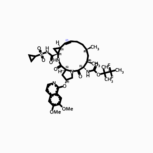 COc1cc2ccnc(O[C@@H]3C[C@H]4C(=O)N[C@]5(C(=O)NS(=O)(=O)C6CC6)C[C@H]5/C=C\CC[C@@H](C)C[C@@H](C)[C@H](NC(=O)OC(C)(C)C(C)(F)F)C(=O)N4C3)c2cc1OC